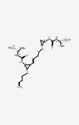 C=CCCC[C@H]1C(/C=C/CCC[C@@H]2C[C@H]2OC(=O)N[C@H](C(=O)O)C(C)(C)C)[C@@H]1OC(=O)N[C@H](C(=O)O)C(C)(C)C